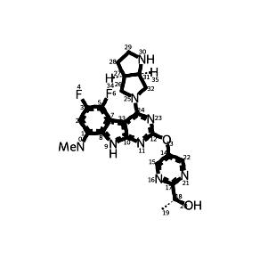 CNc1cc(F)c(F)c2c1[nH]c1nc(Oc3cnc([C@@H](C)O)nc3)nc(N3C[C@H]4CCN[C@H]4C3)c12